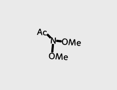 CON(OC)C(C)=O